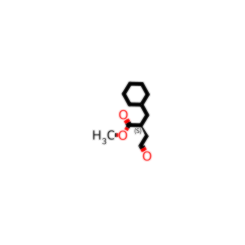 COC(=O)[C@H](CC=O)CC1CCCCC1